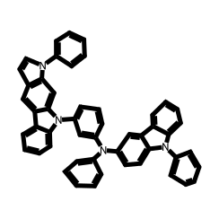 c1ccc(N(c2cccc(-n3c4ccccc4c4cc5ccn(-c6ccccc6)c5cc43)c2)c2ccc3c(c2)c2ccccc2n3-c2ccccc2)cc1